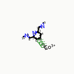 CN=Cc1cccc(C=NC)n1.[Cl-].[Cl-].[Cl-].[Co+3]